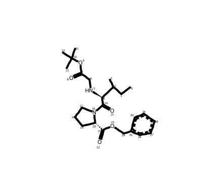 CCC(C)[C@H](NCC(=O)OC(C)(C)C)C(=O)N1CCC[C@H]1C(=O)OCc1ccccc1